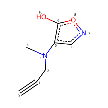 C#CCN(C)c1cnoc1O